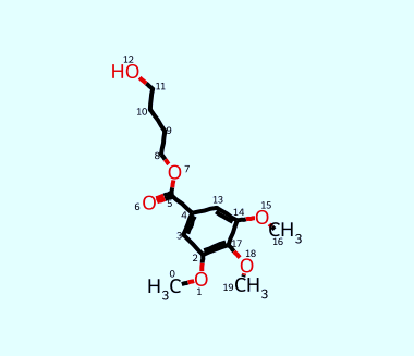 COc1cc(C(=O)OCCCCO)cc(OC)c1OC